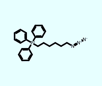 [N-]=[N+]=NCCCCCC[P+](c1ccccc1)(c1ccccc1)c1ccccc1